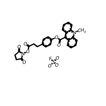 C[n+]1c2ccccc2c(C(=O)Oc2ccc(CCC(=O)ON3C(=O)CCC3=O)cc2)c2ccccc21.O=S(=O)([O-])F